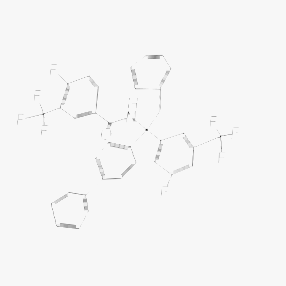 O=C(NC(Cc1ccccc1)(c1ccc(-c2ccccc2)cc1)c1cc(F)cc(C(F)(F)F)c1)c1ccc(F)c(C(F)(F)F)c1